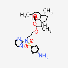 C[C@H]1[C@@H](OCCCN(c2ncccn2)S(=O)(=O)c2ccc(N)cc2)O[C@@H]2O[C@@]3(C)CCC4[C@H](C)CC[C@@H]1[C@]42OO3